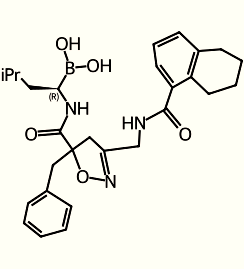 CC(C)C[C@H](NC(=O)C1(Cc2ccccc2)CC(CNC(=O)c2cccc3c2CCCC3)=NO1)B(O)O